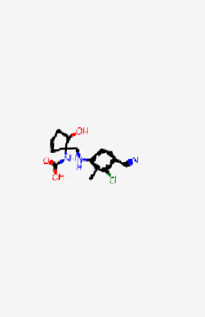 Cc1c(NCC2(NC(=O)O)CCCC2O)ccc(C#N)c1Cl